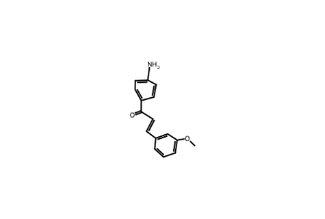 COc1cccc(C=CC(=O)c2ccc(N)cc2)c1